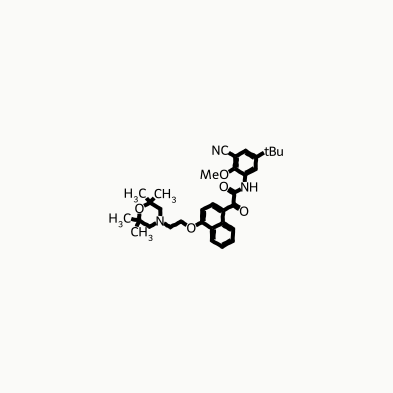 COc1c(C#N)cc(C(C)(C)C)cc1NC(=O)C(=O)c1ccc(OCCN2CC(C)(C)OC(C)(C)C2)c2ccccc12